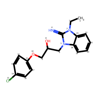 CCn1c(=N)n(CC(O)COc2ccc(Cl)cc2)c2ccccc21